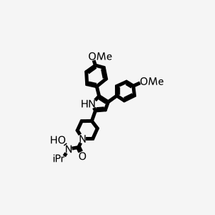 COc1ccc(-c2cc(C3CCN(C(=O)N(O)C(C)C)CC3)[nH]c2-c2ccc(OC)cc2)cc1